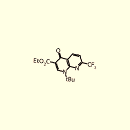 CCOC(=O)c1cn(C(C)(C)C)c2nc(C(F)(F)F)ccc2c1=O